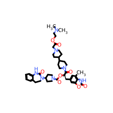 Cc1cc(C[C@@H](OC(=O)N2CCC(N3CCc4ccccc4NC3=O)CC2)C(=O)N2CCC(C3CCN(CC(=O)OCCN(C)C)CC3)CC2)cc2oc(=O)[nH]c12